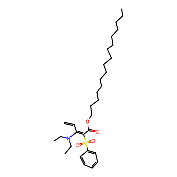 C=CC(=C(C(=O)OCCCCCCCCCCCCCCCC)S(=O)(=O)c1ccccc1)N(CC)CC